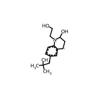 CC(C)(C)Cc1ccc2c(c1)[C]CC(O)N2CCO